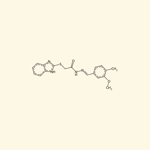 COc1cc(/C=N/NC(=O)CSc2nc3ccccc3[nH]2)ccc1C